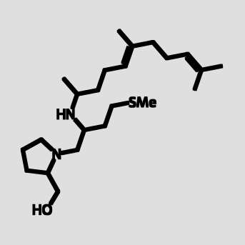 CSCCC(CN1CCCC1CO)NC(C)CC/C=C(\C)CCC=C(C)C